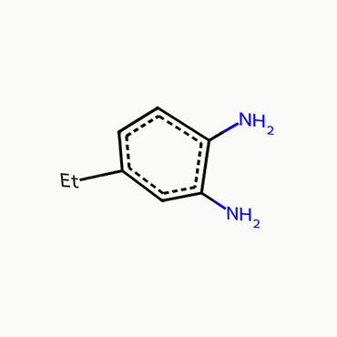 CCc1ccc(N)c(N)c1